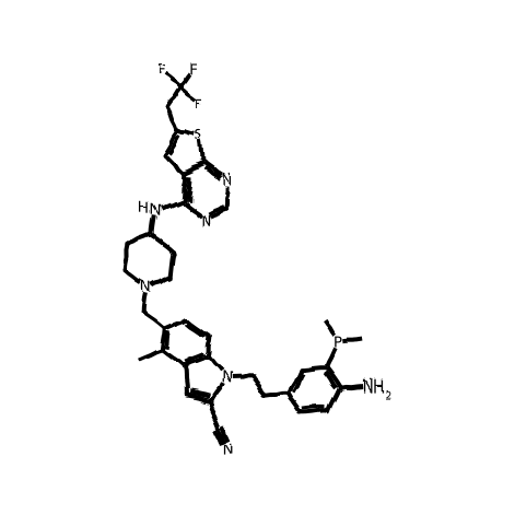 Cc1c(CN2CCC(Nc3ncnc4sc(CC(F)(F)F)cc34)CC2)ccc2c1cc(C#N)n2CCc1ccc(N)c(P(C)C)c1